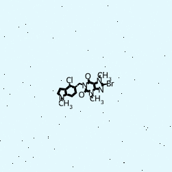 Cn1ccc2c(Cl)c(Cn3c(=O)c4c(nc(Br)n4C)n(C)c3=O)ccc21